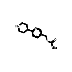 CC(C)(C)C(=O)OCc1ccc(C2CCNCC2)nc1